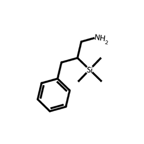 C[Si](C)(C)C(CN)Cc1ccccc1